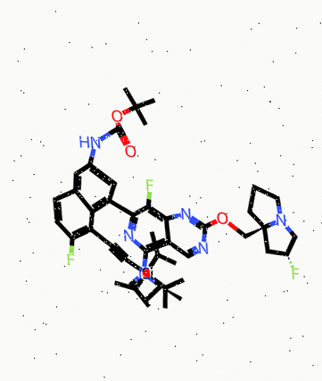 CC(C)[Si](C#Cc1c(F)ccc2cc(NC(=O)OC(C)(C)C)cc(-c3nc(N4CC[C@@H]4C)c4cnc(OC[C@@]56CCCN5C[C@H](F)C6)nc4c3F)c12)(C(C)C)C(C)C